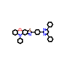 c1ccc(-c2cc(-c3ccccc3)nc(-c3ccc(-c4nc5cc6c(cc5s4)Oc4ccccc4N6c4ccccc4)cc3)n2)cc1